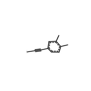 Cc1ccc(C#CI)cc1C